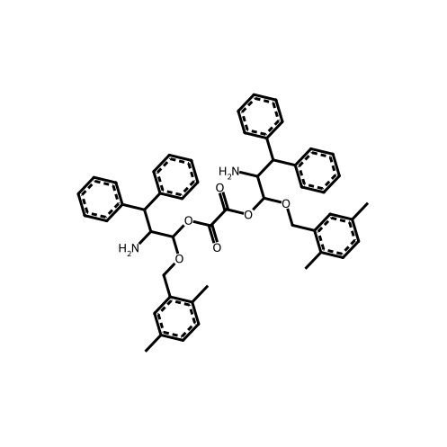 Cc1ccc(C)c(COC(OC(=O)C(=O)OC(OCc2cc(C)ccc2C)C(N)C(c2ccccc2)c2ccccc2)C(N)C(c2ccccc2)c2ccccc2)c1